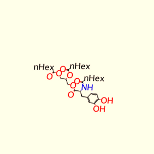 CCCCCCC(=O)N[C@@H](Cc1ccc(O)c(O)c1)C(=O)OCC(COC(=O)CCCCCC)OC(=O)CCCCCC